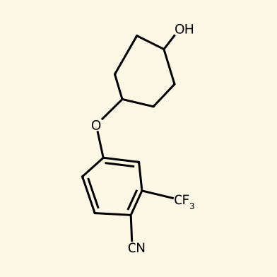 N#Cc1ccc(OC2CCC(O)CC2)cc1C(F)(F)F